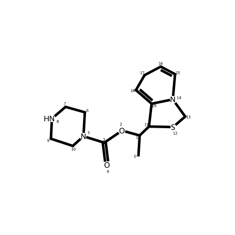 CC(OC(=O)N1CCNCC1)C1SCN2C=CCC=C12